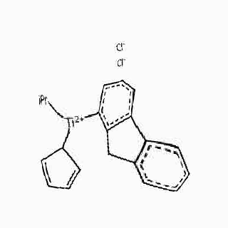 C[CH](C)[Ti+2]([c]1cccc2c1Cc1ccccc1-2)[CH]1C=CC=C1.[Cl-].[Cl-]